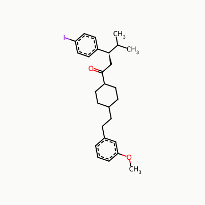 COc1cccc(CCC2CCC(C(=O)C[C@@H](c3ccc(I)cc3)C(C)C)CC2)c1